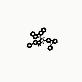 CN1C(c2ccc3c4ccccc4n(-c4ccccc4)c3c2)=NC2=C(c3ccc(-c4ccccc4)cc3C2(C)C)C1n1c2cc3ccccc3cc2c2c3ccccc3ccc21